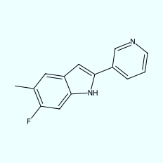 Cc1cc2cc(-c3cccnc3)[nH]c2cc1F